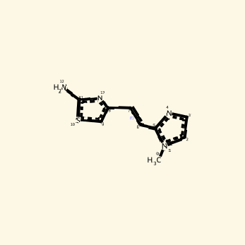 Cn1ccnc1/C=C/c1csc(N)n1